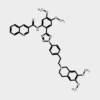 COc1cc2c(cc1OC)CN(CCc1ccc(-n3nnc(-c4cc(OC)c(OC)cc4NC(=O)c4cnc5ccccc5c4)n3)cc1)CC2